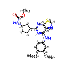 COc1ccc(Nc2nc(C3CCC(NC(=O)OC(C)(C)C)C3)nc3scnc23)cc1OC